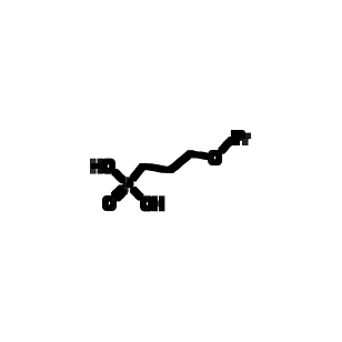 CC(C)OCCCP(=O)(O)O